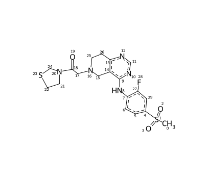 CS(=O)(=O)c1ccc(Nc2ncnc3c2CN(CC(=O)N2CCSC2)CC3)c(F)c1